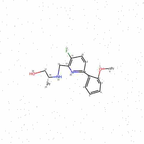 CCCOc1ccccc1-c1ccc(F)c(CN[C@@H](CO)C(C)C)n1